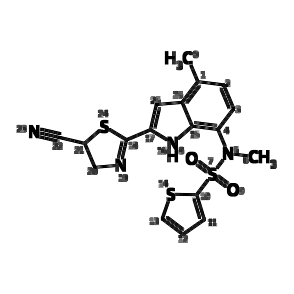 Cc1ccc(N(C)S(=O)(=O)c2cccs2)c2[nH]c(C3=NCC(C#N)S3)cc12